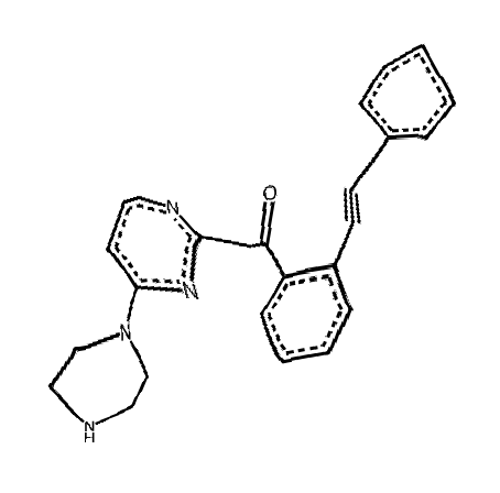 O=C(c1nccc(N2CCNCC2)n1)c1ccccc1C#Cc1ccccc1